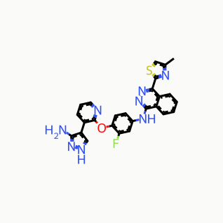 Cc1csc(-c2nnc(Nc3ccc(Oc4ncccc4-c4c[nH]nc4N)c(F)c3)c3ccccc23)n1